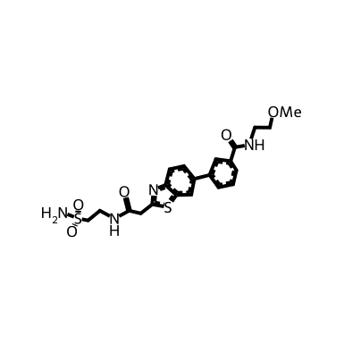 COCCNC(=O)c1cccc(-c2ccc3nc(CC(=O)NCCS(N)(=O)=O)sc3c2)c1